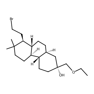 CCOC[C@@]1(O)CC[C@H]2[C@@H](CC[C@@H]3[C@@H]2CCC(C)(C)[C@H]3CCBr)C1